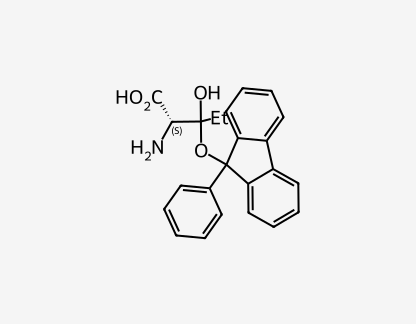 CCC(O)(OC1(c2ccccc2)c2ccccc2-c2ccccc21)[C@H](N)C(=O)O